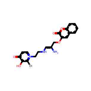 CCc1c(O)c(=O)ccn1CCN/C=C(\N)COc1cc2ccccc2oc1=O